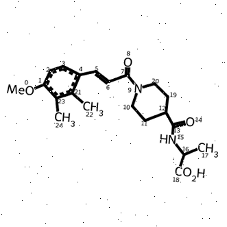 COc1ccc(/C=C/C(=O)N2CCC(C(=O)NC(C)C(=O)O)CC2)c(C)c1C